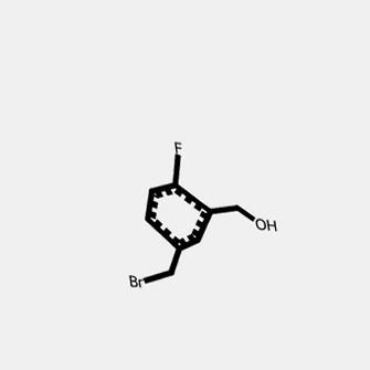 OCc1cc(CBr)ccc1F